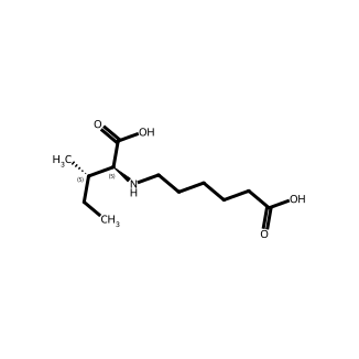 CC[C@H](C)[C@H](NCCCCCC(=O)O)C(=O)O